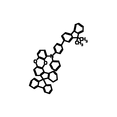 CC1(C)c2ccccc2-c2ccc(-c3ccc(N(c4ccccc4)c4cccc5c4Oc4c(ccc6c4C4=C(CCC=C4)C64c6ccccc6-c6ccccc64)O5)cc3)cc21